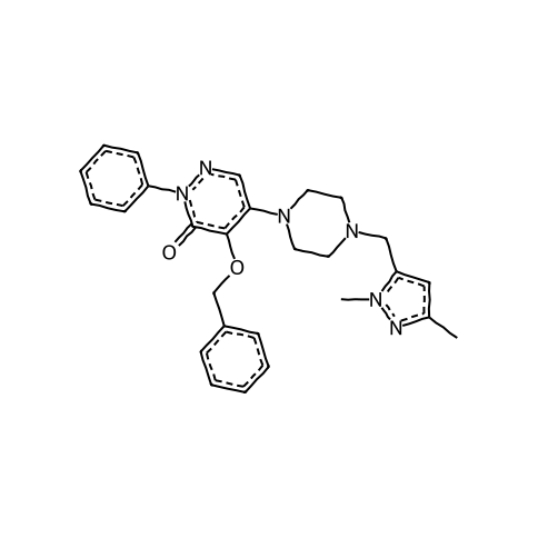 Cc1cc(CN2CCN(c3cnn(-c4ccccc4)c(=O)c3OCc3ccccc3)CC2)n(C)n1